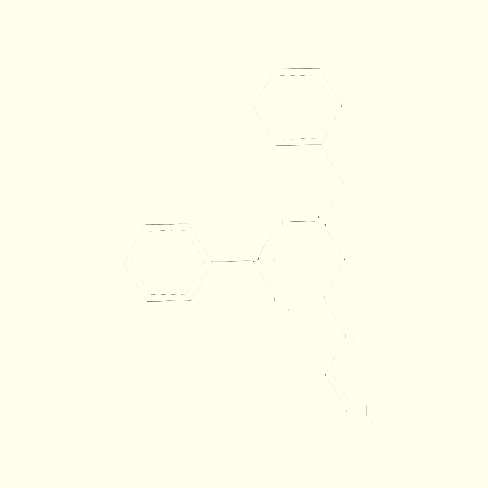 C=CCCCN(Cc1ccccc1)OC(=O)c1ccccc1